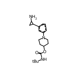 CC(C)(C)NC(=O)OC1CCN(c2cccc(C3CC3N)c2)CC1